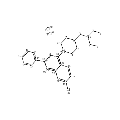 CCN(CC)CC1CCN(c2cc(-c3ccccc3)nc3cc(Cl)ccc23)CC1.Cl.Cl